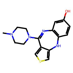 CN1CCN(C2=Nc3cc(O)ccc3Nc3cscc32)CC1